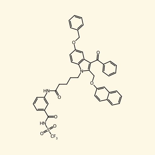 O=C(CCCCn1c(COc2ccc3ccccc3c2)c(C(=O)c2ccccc2)c2cc(OCc3ccccc3)ccc21)Nc1cccc(C(=O)NS(=O)(=O)C(F)(F)F)c1